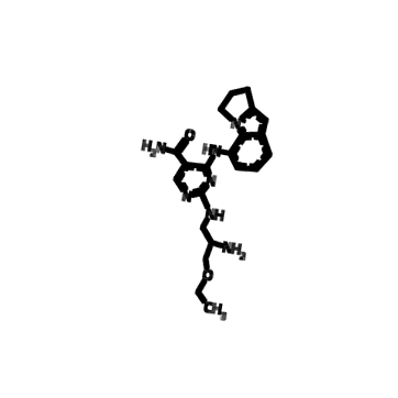 CCOCC(N)CNc1ncc(C(N)=O)c(Nc2cccc3cc4n(c23)CCC4)n1